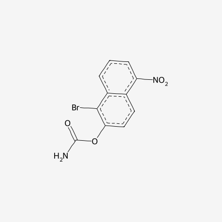 NC(=O)Oc1ccc2c([N+](=O)[O-])cccc2c1Br